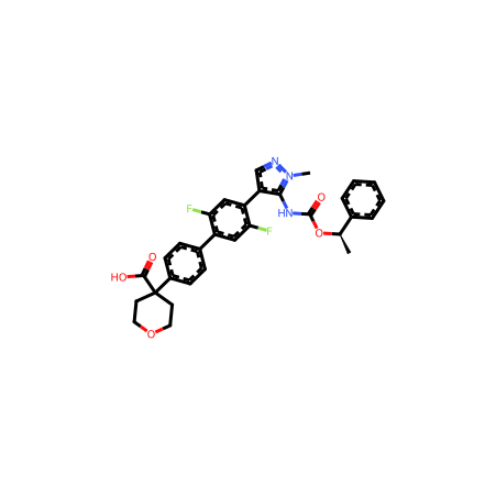 C[C@@H](OC(=O)Nc1c(-c2cc(F)c(-c3ccc(C4(C(=O)O)CCOCC4)cc3)cc2F)cnn1C)c1ccccc1